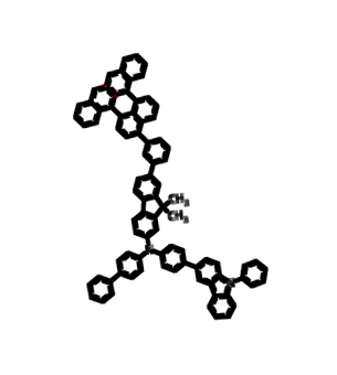 CC1(C)c2cc(-c3cccc(-c4ccc(-c5cccc6ccccc56)c5c(-c6cccc7ccccc67)cccc45)c3)ccc2-c2ccc(N(c3ccc(-c4ccccc4)cc3)c3ccc(-c4ccc5c(c4)c4ccccc4n5-c4ccccc4)cc3)cc21